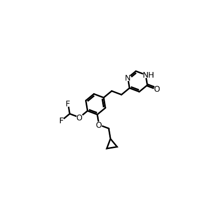 O=c1cc(CCc2ccc(OC(F)F)c(OCC3CC3)c2)nc[nH]1